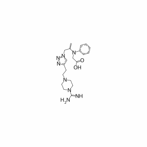 C=C(Cn1cc(CCN2CCN(C(=N)N)CC2)nn1)N(CC(=O)O)c1ccccc1